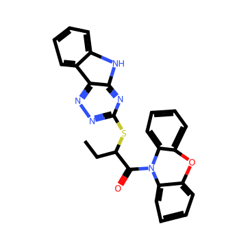 CCC(Sc1nnc2c(n1)[nH]c1ccccc12)C(=O)N1c2ccccc2Oc2ccccc21